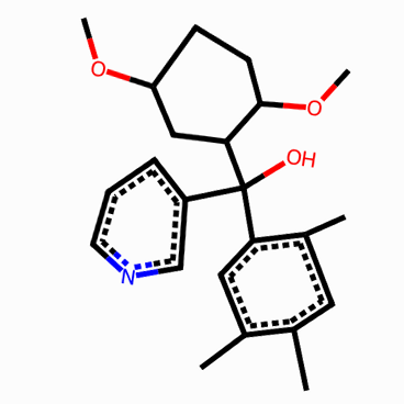 COC1CCC(OC)C(C(O)(c2cccnc2)c2cc(C)c(C)cc2C)C1